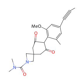 CC#Cc1cc(C)c(C2C(=O)CC3(CC2=O)CN(C(=O)N(C)C)C3)c(OC)c1